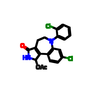 CC(=O)OC1NC(=O)C2=C1c1ccc(Cl)cc1N(c1ccccc1Cl)CC2